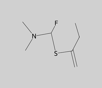 C=C(CC)SC(F)N(C)C